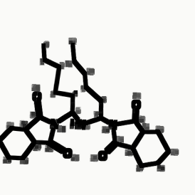 CCCCCC(NC(CCCCC)N1C(=O)C2CCCCC2C1=O)N1C(=O)C2CCCCC2C1=O